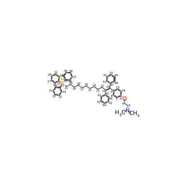 CN(C)CCOc1ccc(/C(=C(/CCCCCCCCCC[PH](c2ccccc2)(c2ccccc2)c2ccccc2)c2ccccc2)c2c#cccc2)cc1